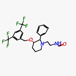 O=CNCCN1CCCC(OCc2cc(C(F)(F)F)cc(C(F)(F)F)c2)C1c1ccccc1